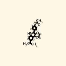 CC(=O)Oc1ccc(C2Nc3ccc(C(C)C)cc3C3OCCOC23)cc1